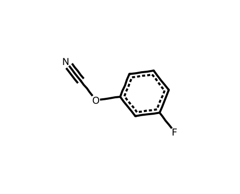 N#COc1cccc(F)c1